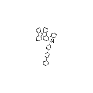 c1ccc(-c2ccc(-c3ccc(-c4nc5ccccc5c5c6c(ccc45)C4(c5ccccc5-c5ccccc54)c4ccccc4-6)cc3)cc2)cc1